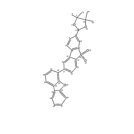 CC1(C)OB(c2ccc3c(c2)S(=O)(=O)c2ccc(-c4cccc5c4oc4ccccc45)cc2-3)OC1(C)C